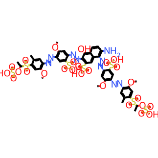 COc1cc(N=Nc2c(S(=O)(=O)O)cc3c(N=Nc4cc(OC)c(N=Nc5cc(C)c(S(=O)(=O)C(C)OS(=O)(=O)O)cc5OC)cc4S(=O)(=O)O)c(N)ccc3c2O)c(S(=O)(=O)O)cc1N=Nc1cc(C)c(S(=O)(=O)C(C)OS(=O)(=O)O)cc1OC